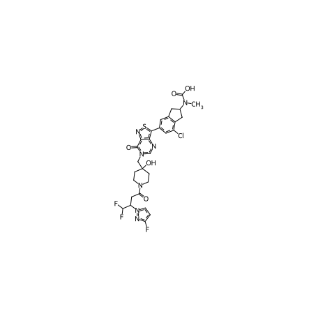 CN(C(=O)O)C1Cc2cc(-c3snc4c(=O)n(CC5(O)CCN(C(=O)CC(C(F)F)n6ccc(F)n6)CC5)cnc34)cc(Cl)c2C1